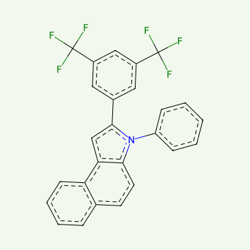 FC(F)(F)c1cc(-c2cc3c4ccccc4ccc3n2-c2ccccc2)cc(C(F)(F)F)c1